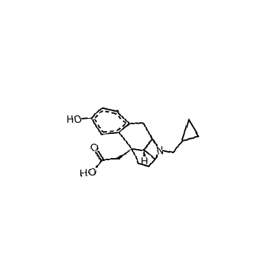 C[C@H]1C2Cc3ccc(O)cc3[C@@]1(CC(=O)O)CCN2CC1CC1